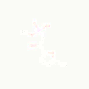 CCOP(=O)(O)CC(=O)c1ccc(C(F)(F)F)o1